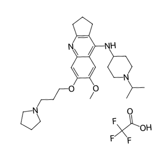 COc1cc2c(NC3CCN(C(C)C)CC3)c3c(nc2cc1OCCCN1CCCC1)CCC3.O=C(O)C(F)(F)F